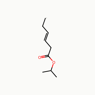 [CH2]C/C=C/CC(=O)OC(C)C